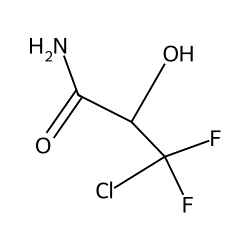 NC(=O)C(O)C(F)(F)Cl